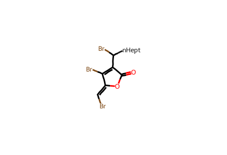 CCCCCCCC(Br)C1=C(Br)C(=CBr)OC1=O